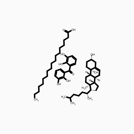 CC(C)CCC[C@@H](C)[C@H]1CC[C@H]2[C@@H]3CC=C4C[C@@H](O)CC[C@]4(C)[C@H]3CC[C@]12C.CCCCCCCCCCCCCCCCCC(=O)O.O=C(c1cccc(O)c1O)c1cccc(O)c1O